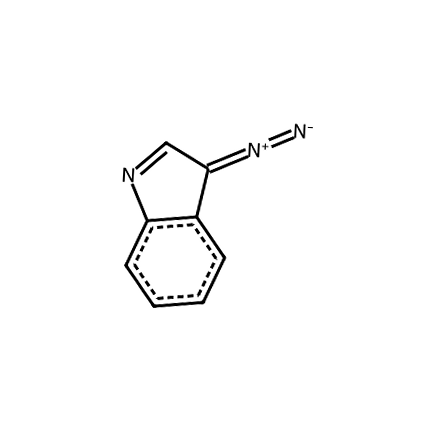 [N-]=[N+]=C1C=Nc2ccccc21